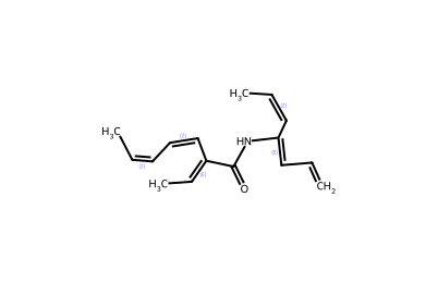 C=C/C=C(\C=C/C)NC(=O)C(/C=C\C=C/C)=C/C